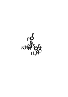 CN1CCN(c2ncc(Sc3ccc(C(N)=O)c(C(F)(F)F)c3)c(OCc3ccc(F)cc3F)n2)CC1